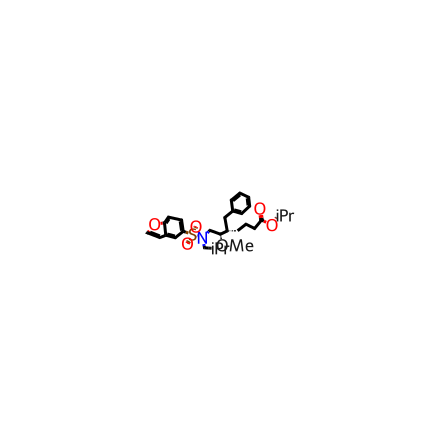 CO[C@H](CN(CC(C)C)S(=O)(=O)c1ccc2occc2c1)[C@@H](CCCC(=O)OC(C)C)Cc1ccccc1